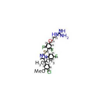 COc1cc(C(C)(C)c2cnc(SCc3c(F)cc(OCCCNC(=N)N)cc3F)n2-c2ccc(F)cc2)ccc1Cl